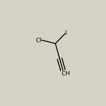 C#CC(Cl)I